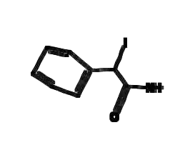 [NH]C(=O)C(I)c1ccccc1